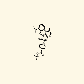 Cc1cnc2cc(N3CCN(C(=O)OC(C)(C)C)CC3)c(=O)n(Cc3ncccc3C(F)F)c2n1